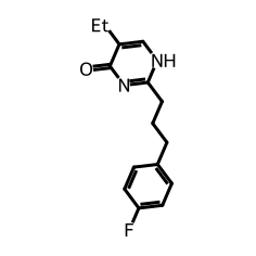 CCc1c[nH]c(CCCc2ccc(F)cc2)nc1=O